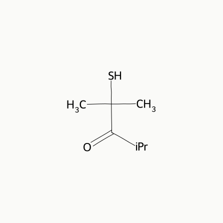 CC(C)C(=O)C(C)(C)S